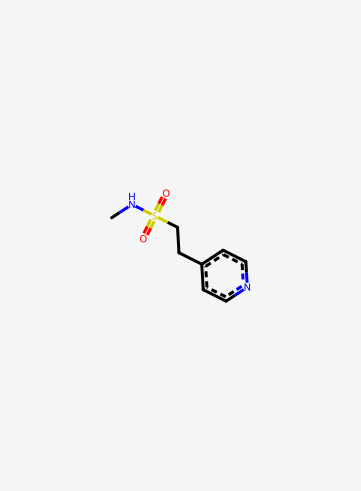 CNS(=O)(=O)CCc1ccncc1